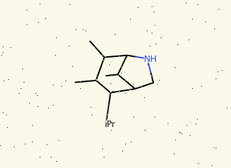 CC(C)C1C(C)C(C)C2NCC1C2C